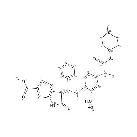 COC(=O)c1ccc2c(c1)NC(=O)/C2=C(\Nc1ccc(N(C)C(=O)CN2CCN(C)CC2)cc1)c1ccccc1.Cl.O